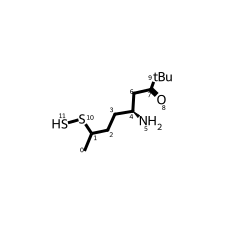 CC(CC[C@H](N)CC(=O)C(C)(C)C)SS